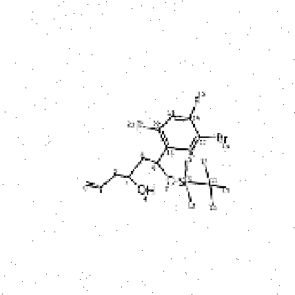 C=CCC(O)CC(O[Si](C)(C)C(C)(C)C)c1cc(Br)c(F)cc1F